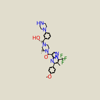 COc1ccc(-c2nc3c(C(=O)N4CCN([C@H](CO)c5cccc(N6CCNCC6)c5)C[C@H]4C)cnn3c(C(F)(F)F)c2C)cc1